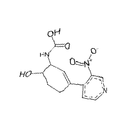 O=C(O)NC1C=C(c2ccncc2[N+](=O)[O-])CCC1O